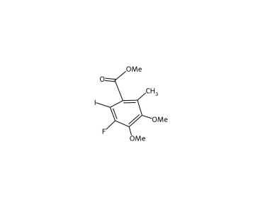 COC(=O)c1c(C)c(OC)c(OC)c(F)c1I